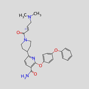 CN(C)C/C=C/C(=O)N1CCC(c2ccc(C(N)=O)c(Oc3ccc(Oc4ccccc4)cc3)n2)CC1